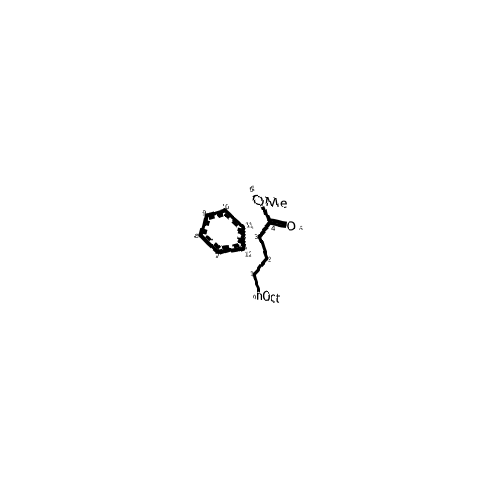 CCCCCCCCCCCC(=O)OC.c1ccccc1